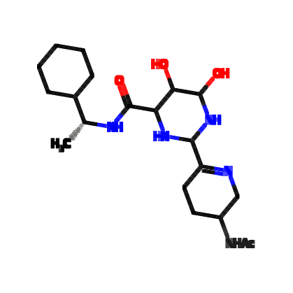 CC(=O)NC1CCC(C2NC(O)C(O)C(C(=O)N[C@H](C)C3CCCCC3)N2)=NC1